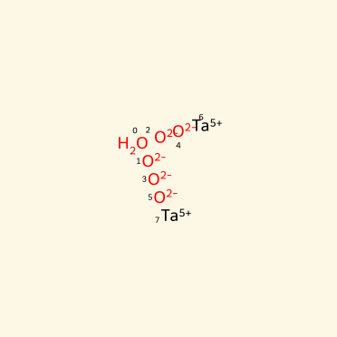 O.[O-2].[O-2].[O-2].[O-2].[O-2].[Ta+5].[Ta+5]